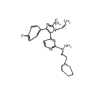 C/C=C\n1c(C)nc(-c2ccc(F)cc2)c1-c1ccnc(N(N)CCN2CCCCC2)n1